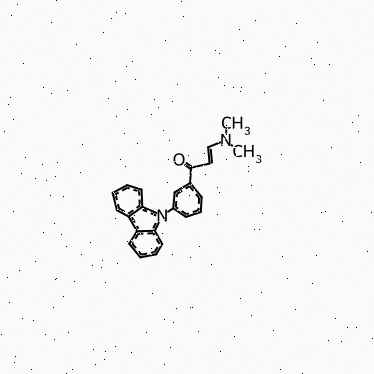 CN(C)/C=C/C(=O)c1cccc(-n2c3ccccc3c3ccccc32)c1